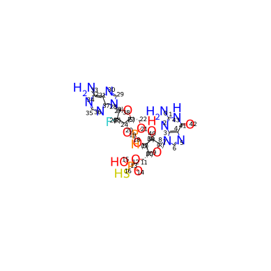 Nc1nc2c(ncn2[C@@H]2O[C@H](COP(=O)(O)S)[C@@H](O[PH](=O)OC[C@@H]3C[C@@H](F)[C@H](n4cnc5c(N)ncnc54)O3)[C@H]2O)c(=O)[nH]1